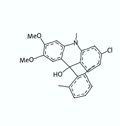 COc1cc2c(cc1OC)C(O)(c1c(C)cccc1C)c1ccc(Cl)cc1N2C